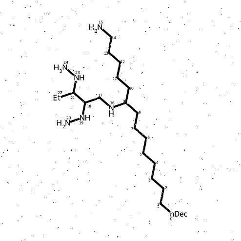 CCCCCCCCCCCCCCCCCCC(CCCCCN)NCC(NN)C(CC)NN